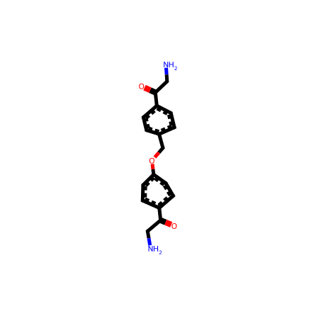 NCC(=O)c1ccc(COc2ccc(C(=O)CN)cc2)cc1